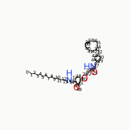 CCCCCCCCCCCCCCNCc1ccc(OCCCC(=O)NCc2ccc(CC3CCCCCCCCC3)cc2)cc1OC